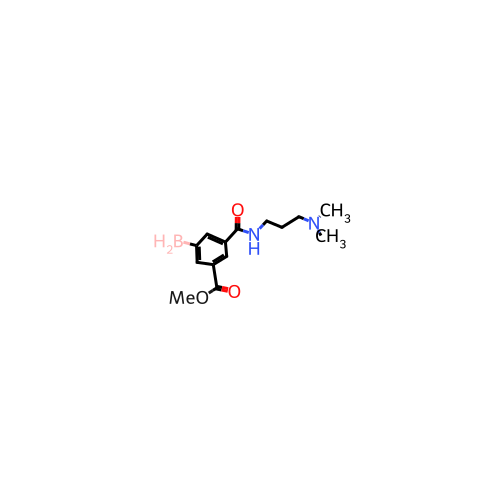 Bc1cc(C(=O)NCCCN(C)C)cc(C(=O)OC)c1